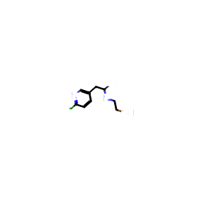 CCC(Cc1ccc(Cl)nc1)NCCS